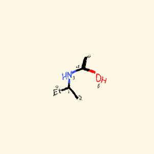 CCC(C)NC(C)O